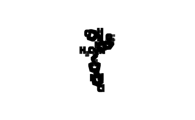 CN(CCN1CCN(c2ncc(Cl)cn2)CC1)c1nc2c(c(NC3CCOCC3)n1)[S@+]([O-])CC2